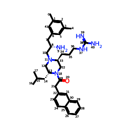 Cc1cc(C)cc(C[C@H](N)CN2C[C@@H](CC(C)C)N(C(=O)Cc3ccc4ccccc4c3)C[C@@H]2CCCNC(=N)N)c1